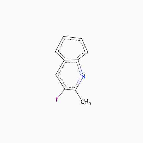 Cc1nc2ccccc2cc1I